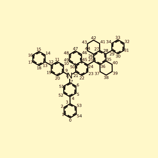 c1ccc(-c2ccc(N(c3ccc(-c4ccccc4)cc3)c3ccc(-c4c5c(c(-c6ccccc6)c6c4CCCC6)CCCC5)c4ccccc34)cc2)cc1